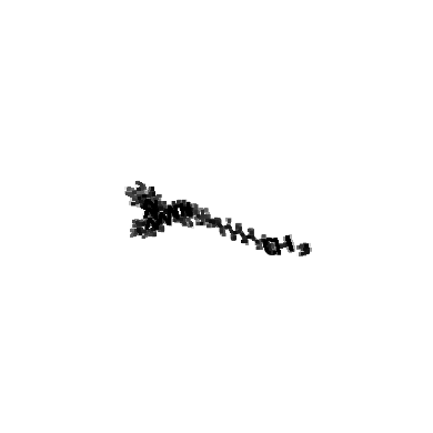 CCCCCCCCCCCCCCN1CCN(c2cc(N3CCCC3)nc(N3CCCC3)n2)CC1